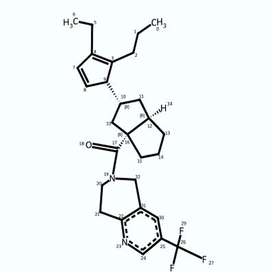 CCCC1=C(CC)C=CC1[C@@H]1C[C@H]2CCC[C@@]2(C(=O)N2CCc3ncc(C(F)(F)F)cc3C2)C1